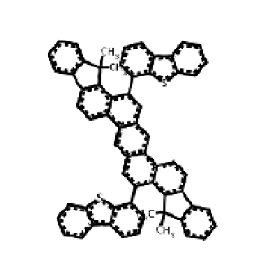 CC1(C)c2ccccc2-c2ccc3c(c(-c4cccc5c4sc4ccccc45)cc4cc5c(cc(-c6cccc7c6sc6ccccc67)c6c7c(ccc65)-c5ccccc5C7(C)C)cc43)c21